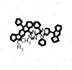 CC1(C)c2ccccc2-c2cc3c(-c4ccccc4)c4ccccc4c(-c4ncnc(C5=C(c6ccccc6)N6CC=C(c7c8ccccc8cc8ccccc78)C=C6N5c5ccccc5)n4)c3cc21